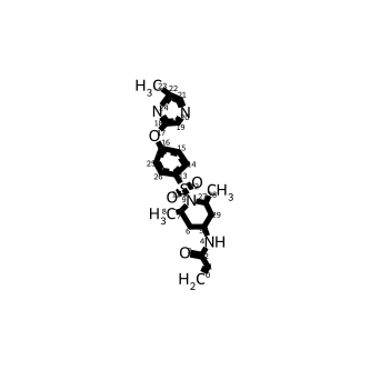 C=CC(=O)NC1CC(C)N(S(=O)(=O)c2ccc(Oc3cncc(C)n3)cc2)C(C)C1